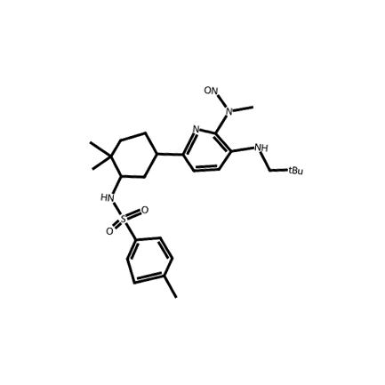 Cc1ccc(S(=O)(=O)NC2CC(c3ccc(NCC(C)(C)C)c(N(C)N=O)n3)CCC2(C)C)cc1